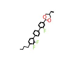 C=CC1COC(c2ccc(-c3ccc(-c4ccc(CCCC)c(F)c4F)cc3)c(F)c2)OC1